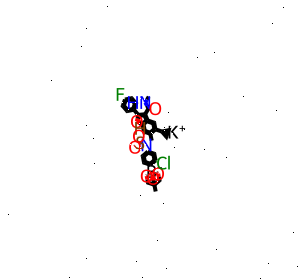 CNC(=O)c1c(-c2ccc(F)cc2)oc2cc(CN(c3ccc([B-]45OCC(C)(CO4)CO5)c(Cl)c3)[SH](=O)=O)c(C3CC3)cc12.[K+]